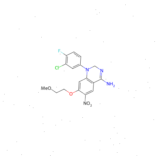 COCCOc1cc2c(cc1[N+](=O)[O-])C(N)=NCN2c1ccc(F)c(Cl)c1